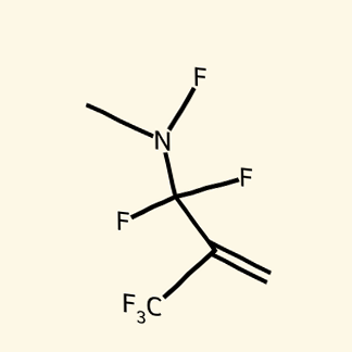 C=C(C(F)(F)F)C(F)(F)N(C)F